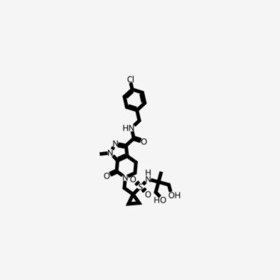 Cn1nc(C(=O)NCc2ccc(Cl)cc2)c2c1C(=O)N(CC1(S(=O)(=O)NC(C)(CO)CO)CC1)CC2